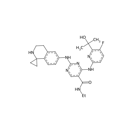 CCNC(=O)c1cnc(Nc2ccc3c(c2)CCNC32CC2)nc1Nc1ccc(F)c(C(C)(C)O)n1